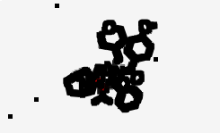 COC1CCC(C(=O)N[C@@H](CCN2C3CCC2CC2(C3)CN(CC3CCOCC3)C(=O)N2C(C)C)c2ccccc2)CC1